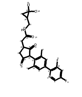 Cc1cc(-c2ncc(F)cc2F)cc(C)c1C1C(=O)CC(CC(=O)NCC2CC2(Cl)Cl)C1=O